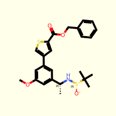 COc1cc(-c2csc(C(=O)OCc3ccccc3)c2)cc([C@@H](C)N[S@@+]([O-])C(C)(C)C)c1